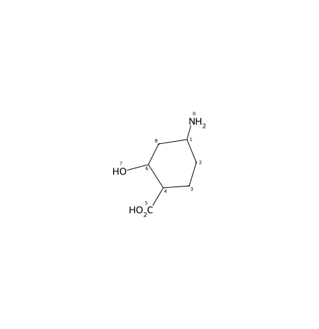 NC1CCC(C(=O)O)C(O)C1